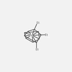 CC[C]12[CH]3[CH]4[C]5(CC)[C]1(CC)[Fe]34251678[CH]2[CH]1[CH]6[CH]7[CH]28